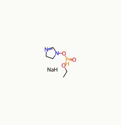 CCO[PH](=O)ON1C=NCC1.[NaH]